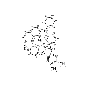 Cc1cc2c(cc1C)n1c3ccc4oc5ccc6ccc7c8c6c5c4c3c3c1n2-c1cccc(c1B83)N7c1ccccc1